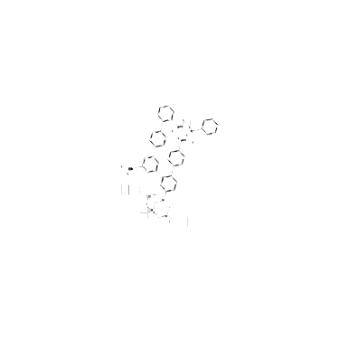 C[C@@H]1C[C@@H]2C[C@H](C)CC(c3ccc(-c4ccc(-c5nc(-c6ccccc6)nc(-c6ccccc6-c6ccccc6)n5)cc4)c(-c4cccc(C#N)c4)c3)(C1)C2